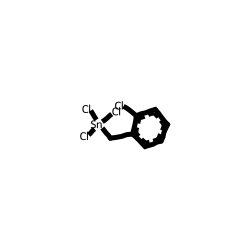 Clc1ccccc1[CH2][Sn]([Cl])([Cl])[Cl]